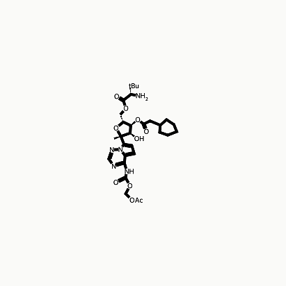 CC(=O)OCOC(=O)Nc1ncnn2c([C@]3(C)O[C@H](COC(=O)[C@@H](N)C(C)(C)C)[C@@H](OC(=O)CC4CCCCC4)[C@H]3O)ccc12